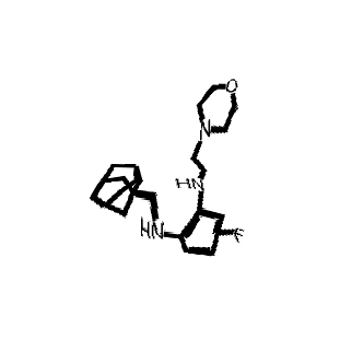 Fc1ccc(NCC23CC4CC(CC(C4)C2)C3)c(NCCN2CCOCC2)c1